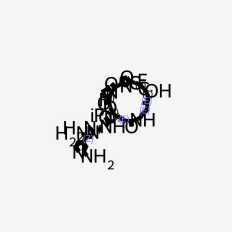 CC1=C\[C@@H](O)C[C@@H](F)Cc2nc(co2)C(=O)N2CCC[C@@H]2C(=O)O[C@H](C(C)C)[C@H](CC(=O)NCCN(N)/C=C(\N)c2ccnc(N)c2)/C=C/C(=O)NC\C=C\1